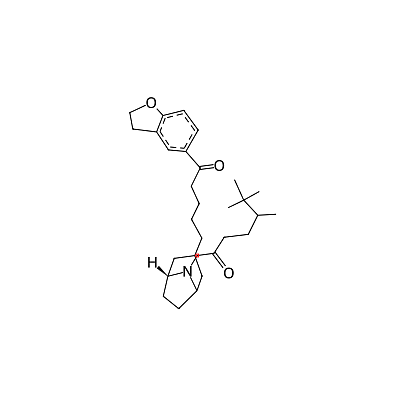 CC(CCC(=O)CN1C2CC[C@@H]1CC(CCCCC(=O)c1ccc3c(c1)CCO3)C2)C(C)(C)C